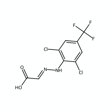 O=C(O)C=NNc1c(Cl)cc(C(F)(F)F)cc1Cl